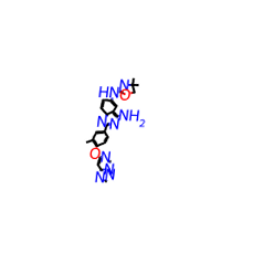 Cc1cc(-c2nc(N)c3cc(NC4=NC(C)(C)CO4)ccc3n2)ccc1Oc1cc2ncnn2cn1